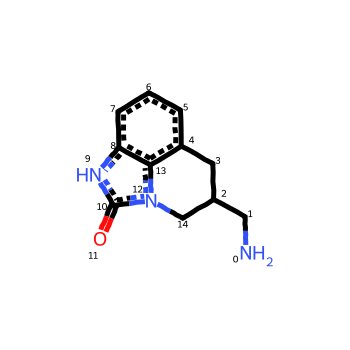 NCC1Cc2cccc3[nH]c(=O)n(c23)C1